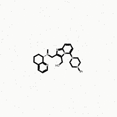 CC(C)N1CCN(c2cccc3nc(CN(C)[C@H]4CCCc5cccnc54)c(CO)n23)CC1